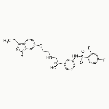 CCc1n[nH]c2cc(OCCNC[C@H](O)c3cccc(NS(=O)(=O)c4ccc(F)cc4F)c3)ccc12